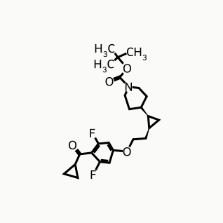 CC(C)(C)OC(=O)N1CCC([C@H]2C[C@H]2CCOc2cc(F)c(C(=O)C3CC3)c(F)c2)CC1